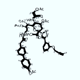 C#CCOc1cccc(-c2cn([C@]3(C(=O)OC)C[C@H](OC(C)=O)[C@@H](NC(=O)COC(C)=O)[C@H]([C@H](OC(C)=O)[C@@H](CNC(=O)Cc4ccc(-c5ccc(OC(C)=O)cc5)cc4)OC(C)=O)O3)nn2)c1